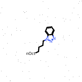 CCCCCCCCCCCCn1nnc2ccccc21